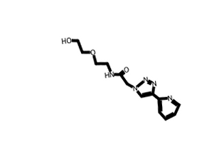 O=C(Cn1cc(-c2ccccn2)nn1)NCCOCCO